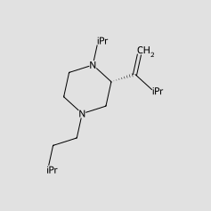 C=C(C(C)C)[C@@H]1CN(CCC(C)C)CCN1C(C)C